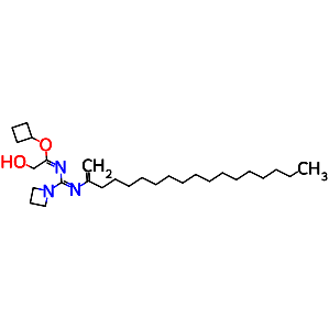 C=C(CCCCCCCCCCCCCCCC)/N=C(\N=C(/CO)OC1CCC1)N1CCC1